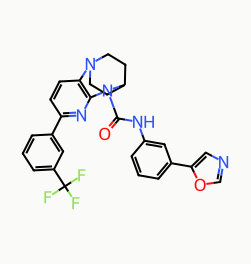 O=C(Nc1cccc(-c2cnco2)c1)N1c2nc(-c3cccc(C(F)(F)F)c3)ccc2N2CCC1CC2